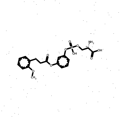 COc1ccccc1CCC(=O)Oc1cccc(OP(=O)(O)OC[C@H](N)C(=O)O)c1